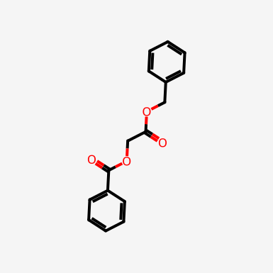 O=C(COC(=O)c1ccccc1)OCc1ccccc1